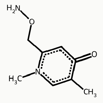 Cc1cn(C)c(CON)cc1=O